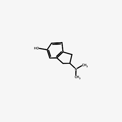 CN(C)C1Cc2ccc(O)cc2C1